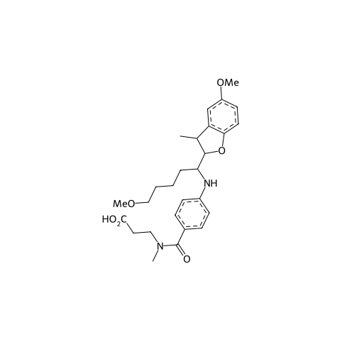 COCCCCC(Nc1ccc(C(=O)N(C)CCC(=O)O)cc1)C1Oc2ccc(OC)cc2C1C